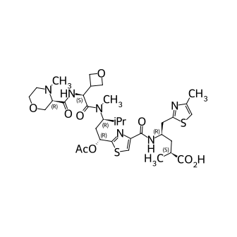 CC(=O)O[C@H](C[C@H](C(C)C)N(C)C(=O)[C@@H](NC(=O)[C@H]1COCCN1C)C1COC1)c1nc(C(=O)N[C@@H](Cc2nc(C)cs2)C[C@H](C)C(=O)O)cs1